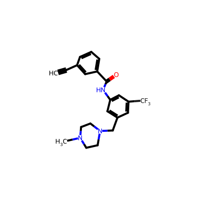 C#Cc1cccc(C(=O)Nc2cc(CN3CCN(C)CC3)cc(C(F)(F)F)c2)c1